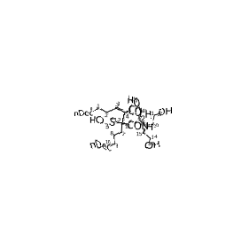 CCCCCCCCCCCCCC(C(=O)O)C(CCCCCCCCCCCCC)(C(=O)O)S(=O)(=O)O.OCCN(CCO)CCO